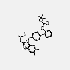 CCC(C)Cc1nc2cc(C)c(C)cc2n1Cc1ccc(-c2ccccc2OC(=O)OC(C)(C)C)cc1